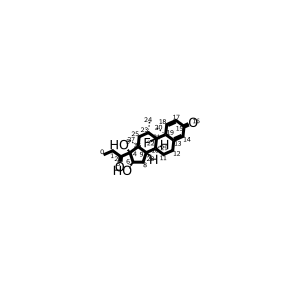 CCC(=O)[C@@]1(O)[C@H](O)C[C@H]2[C@@H]3CCC4=CC(=O)C=C[C@]4(C)[C@@]3(F)[C@@H](C)C[C@@]21C